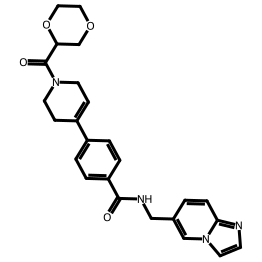 O=C(NCc1ccc2nccn2c1)c1ccc(C2=CCN(C(=O)C3COCCO3)CC2)cc1